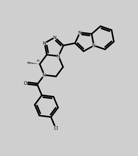 C[C@@H]1c2nnc(-c3cn4ccccc4n3)n2CCN1C(=O)c1ccc(Cl)cc1